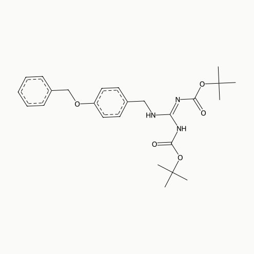 CC(C)(C)OC(=O)N=C(NCc1ccc(OCc2ccccc2)cc1)NC(=O)OC(C)(C)C